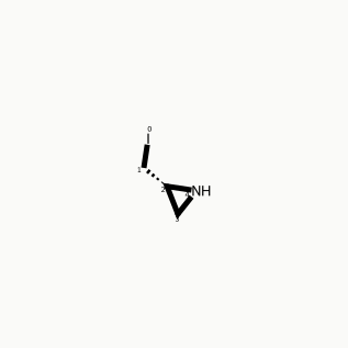 IC[C@H]1CN1